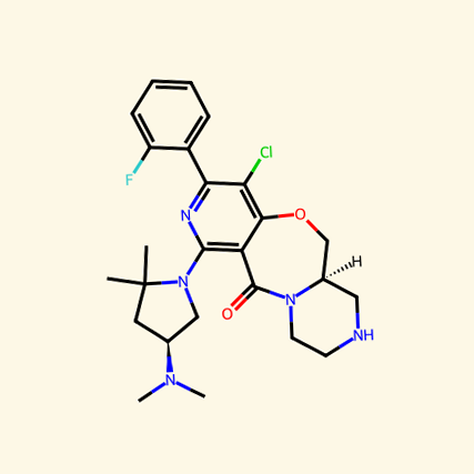 CN(C)[C@@H]1CN(c2nc(-c3ccccc3F)c(Cl)c3c2C(=O)N2CCNC[C@@H]2CO3)C(C)(C)C1